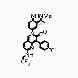 CN/C(C)=C1/C=C(N2C=c3ccc(NCC(F)(F)F)nc3=C(c3ccc(Cl)cc3)C2=C=O)C=CC1=N